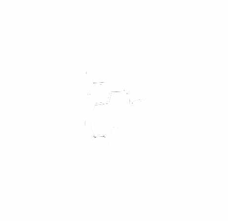 BrNNc1cc(Br)cc(Br)c1.O=C(O)C(=O)O